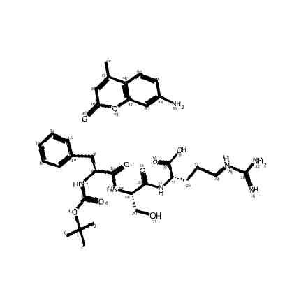 CC(C)(C)OC(=O)N[C@@H](Cc1ccccc1)C(=O)N[C@@H](CO)C(=O)N[C@@H](CCCNC(=N)N)C(=O)O.Cc1cc(=O)oc2cc(N)ccc12